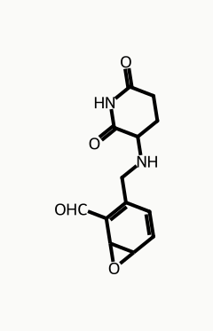 O=CC1=C(CNC2CCC(=O)NC2=O)C=CC2OC12